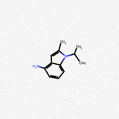 CC(=O)OC(C)n1c(C)cc2c(N)cccc21